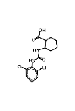 O=C(Nc1c(Cl)cccc1Cl)NC1CCCCC1C(=O)O